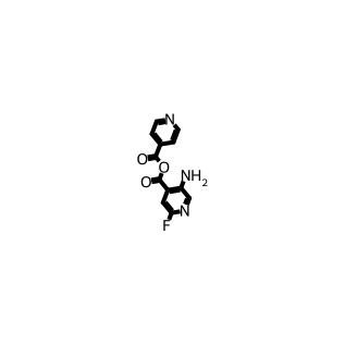 Nc1cnc(F)cc1C(=O)OC(=O)c1ccncc1